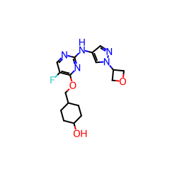 OC1CCC(COc2nc(Nc3cnn(C4COC4)c3)ncc2F)CC1